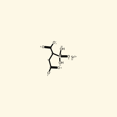 O=C([O-])CC(C(=O)[O-])P(=O)(O)O.[Sr+2]